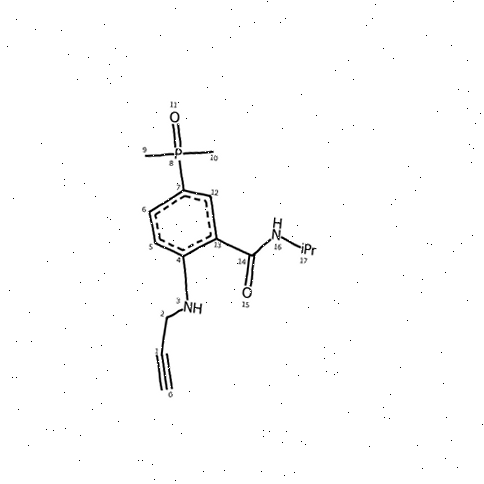 C#CCNc1ccc(P(C)(C)=O)cc1C(=O)NC(C)C